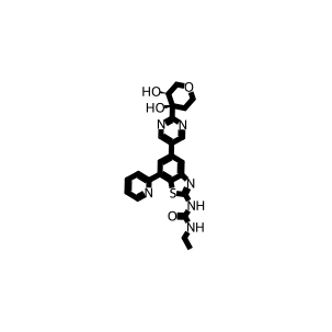 CCNC(=O)Nc1nc2cc(-c3cnc([C@@]4(O)CCOC[C@H]4O)nc3)cc(-c3ccccn3)c2s1